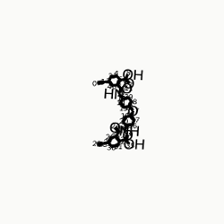 C#Cc1ccc(C(=O)O)c(C(=O)Nc2ccc(Oc3ccc(NC(=O)c4cc(C#C)ccc4C(=O)O)cc3)cc2)c1